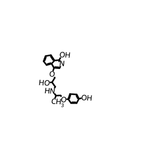 CC(COc1ccc(O)cc1)NCC(O)COc1cnc(O)c2ccccc12